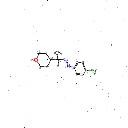 CC(C#N)(/N=N/c1ccc(Br)cc1)C1CCOCC1